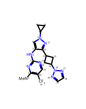 CNc1nc(Nc2cn(C3CC3)nc2C2CC(n3nccn3)C2)ncc1C(F)(F)F